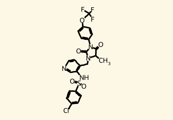 CC1C(=O)N(c2ccc(OC(F)(F)F)cc2)C(=O)N1Cc1ccncc1NS(=O)(=O)c1ccc(Cl)cc1